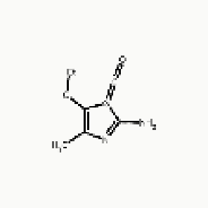 CCOC1=C(C)N=C(N)S1=C=O